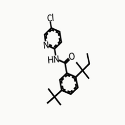 CCC(C)(C)c1ccc(C(C)(C)C)cc1C(=O)Nc1ccc(Cl)cn1